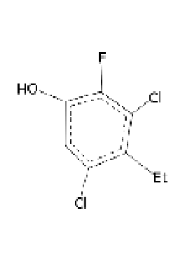 CCc1c(Cl)cc(O)c(F)c1Cl